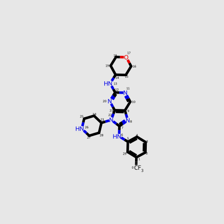 FC(F)(F)c1cccc(Nc2nc3cnc(NC4CCOCC4)nc3n2C2CCNCC2)c1